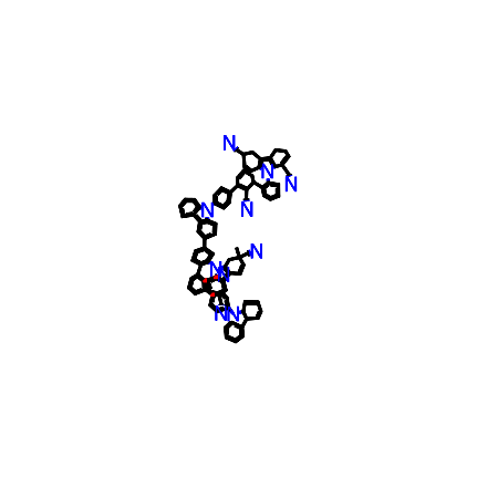 CC1(C#N)C=Cc2c(n(-c3cc(-c4ccc5c(c4)c4ccccc4n5-c4ccc(C5=C(C#N)C(c6ccccc6-n6c7c(c8c6C(C#N)=CCC8)CC(C#N)C=C7)CC=C5)cc4)ccc3-c3cccc(-c4ccc(N5c6ccccc6C6C=CC=CC65)cc4)c3C#N)c3ccc(C#N)cc23)C1